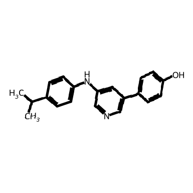 CC(C)c1ccc(Nc2cncc(-c3ccc(O)cc3)c2)cc1